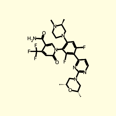 C[C@@H]1CN(c2nccc(-c3c(F)cc(N4CCN(C)[C@@H](C)C4)c(-n4cc(C(N)=O)c(C(F)(F)F)cc4=O)c3F)n2)C[C@H](C)O1